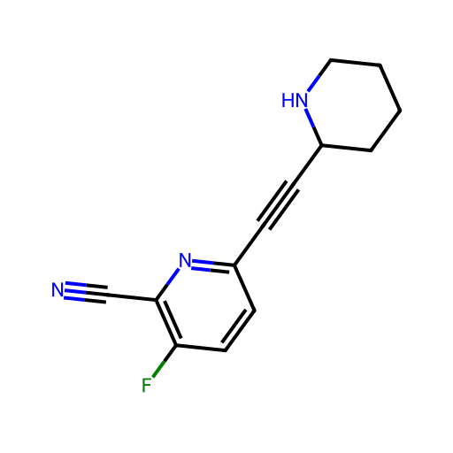 N#Cc1nc(C#CC2CCCCN2)ccc1F